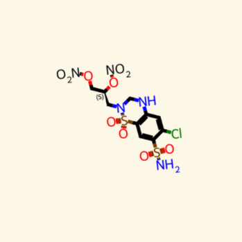 NS(=O)(=O)c1cc2c(cc1Cl)NCN(C[C@@H](CO[N+](=O)[O-])O[N+](=O)[O-])S2(=O)=O